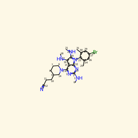 CNc1nc(N2CCCC(CCC#N)C2)c2c(NC)c(NC)n(-c3c(C)cc(Br)cc3C)c2n1